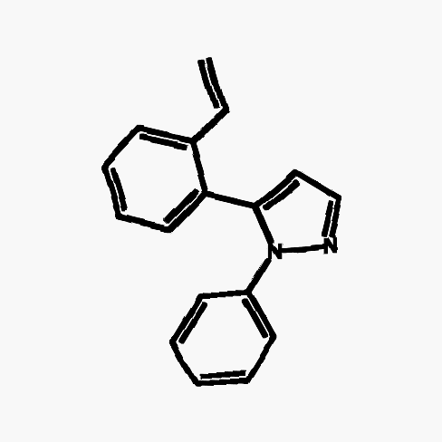 C=Cc1ccccc1-c1ccnn1-c1ccccc1